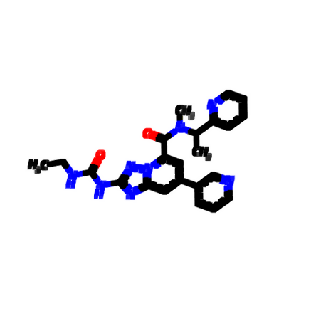 CCNC(=O)Nc1nc2cc(-c3cccnc3)cc(C(=O)N(C)C(C)c3ccccn3)n2n1